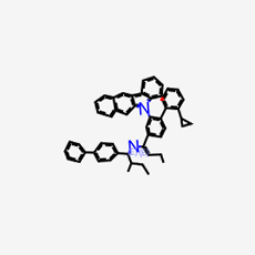 CC/C=C(/N=C(/c1ccc(-c2ccccc2)cc1)C(C)CC)c1ccc(-c2ccccc2C2CC2)c(-n2c3ccccc3c3cc4ccccc4cc32)c1